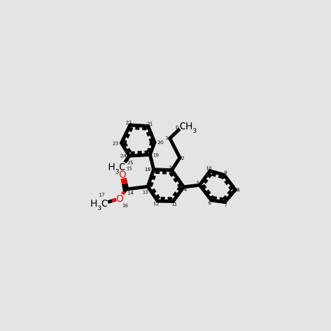 CCCc1c(-c2ccccc2)ccc(C(=O)OC)c1-c1ccccc1C